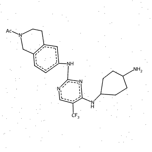 CC(=O)N1CCc2cc(Nc3ncc(C(F)(F)F)c(NC4CCC(N)CC4)n3)ccc2C1